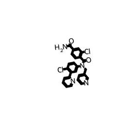 NC(=O)c1ccc(C(=O)N(Cc2cccnc2)c2ccc(Cl)c(-c3ccccn3)c2)c(Cl)c1